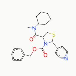 CN(C(=O)C1CSC(c2ccncc2)N1C(=O)OCc1ccccc1)C1CCCCC1